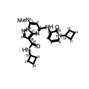 CNc1cc(Nc2cccn(C3CCC3)c2=O)nc2c(C(=O)NC3CCC3)cnn12